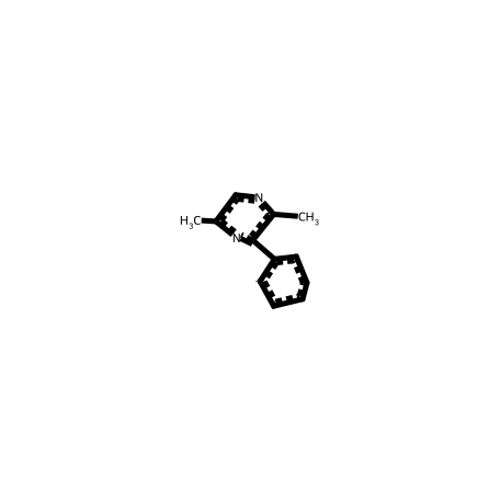 Cc1cnc(C)c(-c2[c]cccc2)n1